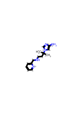 CC(C)(CCNCc1ccccn1)n1cnc(N)c1